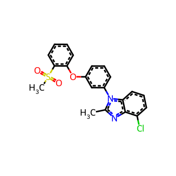 Cc1nc2c(Cl)cccc2n1-c1cccc(Oc2ccccc2S(C)(=O)=O)c1